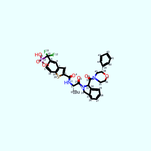 CC(C)(C)[C@H](NC(=O)c1cc2cc(C(F)(F)P(=O)(O)O)ccc2s1)C(=O)N1Cc2ccccc2C1C(=O)N1CCO[C@@H](c2ccccc2)C1